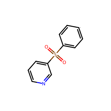 O=S(=O)(c1cc[c]cc1)c1cccnc1